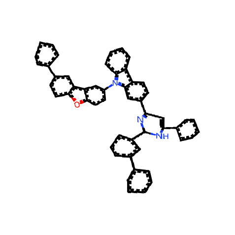 C1=C(c2ccccc2)NC(c2cccc(-c3ccccc3)c2)N=C1c1ccc2c3ccccc3n(-c3ccc4oc5ccc(-c6ccccc6)cc5c4c3)c2c1